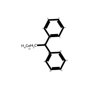 [CH2]C(c1ccccc1)c1ccccc1.[GeH4]